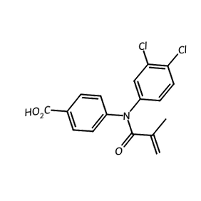 C=C(C)C(=O)N(c1ccc(C(=O)O)cc1)c1ccc(Cl)c(Cl)c1